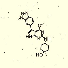 COc1nc(N[C@H]2CC[C@](C)(O)CC2)nc2[nH]cc(-c3ccc4nnn(C)c4c3)c12